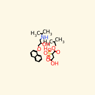 CC(C)COC(=O)C(CC(=O)O)S(=O)(=O)O.CC(C)NCC(O)COc1cccc2ccccc12